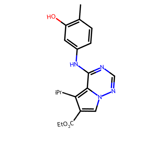 CCOC(=O)c1cn2ncnc(Nc3ccc(C)c(O)c3)c2c1C(C)C